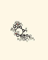 C=CC(=O)N1CC[C@H](C(=O)N(C)[C@H](C(=O)N[C@H]2Cc3cc(cc(C(F)F)c3)-c3ccc4c(c3)c(c(-c3cccnc3[C@H](C)OC)n4CC)CC(C)(C)COC(=O)[C@@H]3CCCN(N3)C2=O)C(C)C)C1